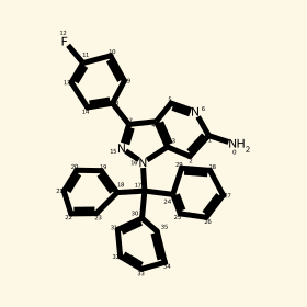 Nc1cc2c(cn1)c(-c1ccc(F)cc1)nn2C(c1ccccc1)(c1ccccc1)c1ccccc1